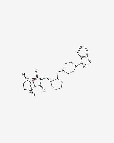 O=C1C2C(C(=O)N1CC1CCCCC1CN1CCN(c3nsc4ccccc34)CC1)[C@H]1CC[C@@H]2CC1O